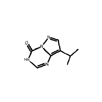 CC(C)c1cnn2c(=O)[nH]cnc12